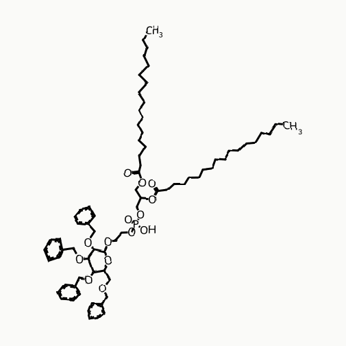 CCCCCCCCCCCCCCCCCC(=O)OCC(COP(=O)(O)OCCOC1OC(COCc2ccccc2)C(OCc2ccccc2)C(OCc2ccccc2)C1OCc1ccccc1)OC(=O)CCCCCCCCCCCCCCCCC